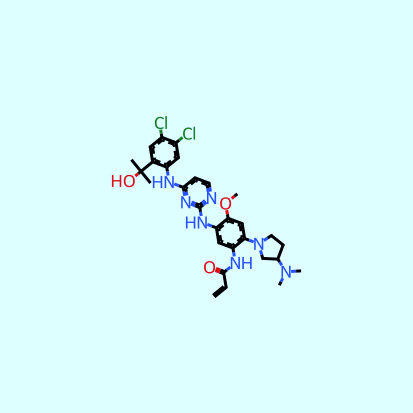 C=CC(=O)Nc1cc(Nc2nccc(Nc3cc(Cl)c(Cl)cc3C(C)(C)O)n2)c(OC)cc1N1CCC(N(C)C)C1